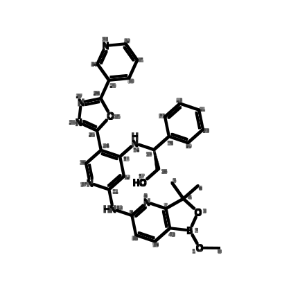 COB1OC(C)(C)c2nc(Nc3cc(N[C@H](CO)c4ccccc4)c(-c4nnc(-c5cccnc5)o4)cn3)ccc21